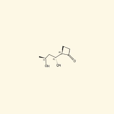 C[C@H](O)C[C@@H](O)[C@H]1CCC1=O